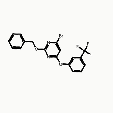 FC(F)(F)c1cccc(Oc2cc(Br)nc(OCc3ccccc3)n2)c1